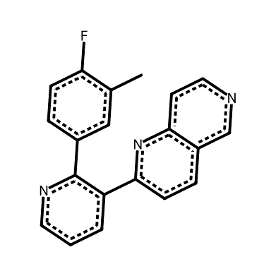 Cc1cc(-c2ncccc2-c2ccc3cnccc3n2)ccc1F